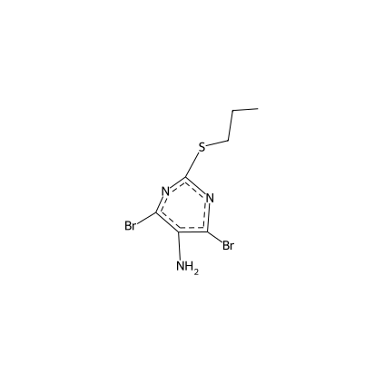 CCCSc1nc(Br)c(N)c(Br)n1